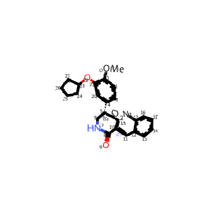 COc1ccc([C@H]2CNC(=O)/C(=C/c3ccccc3[N+](=O)[O-])C2)cc1OC1CCCC1